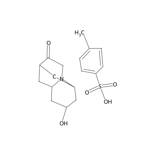 Cc1ccc(S(=O)(=O)O)cc1.O=C1CN2C3CC(O)CC2CC1C3